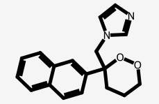 c1ccc2cc(C3(Cn4ccnc4)CCCOO3)ccc2c1